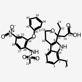 CCc1cccc2c3c([nH]c12)C(CC)(CC(=O)O)OCC3.CS(=O)(=O)Nc1ccc([N+](=O)[O-])cc1Oc1ccccc1